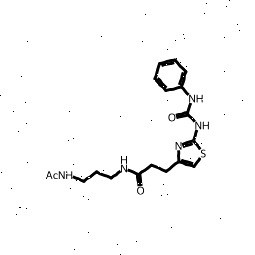 CC(=O)NCCCNC(=O)CCc1csc(NC(=O)Nc2ccccc2)n1